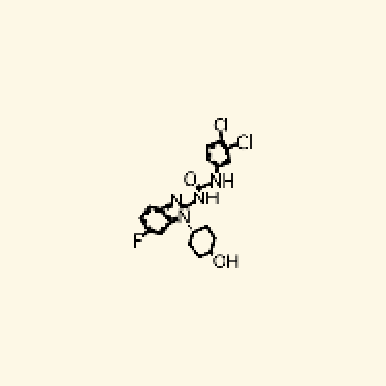 O=C(Nc1ccc(Cl)c(Cl)c1)Nc1nc2ccc(F)cc2n1[C@H]1CC[C@H](O)CC1